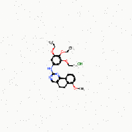 CCOc1cc(Nc2ncc3c(n2)-c2cccc(OC)c2CC3)cc(OCC)c1OCC.Cl